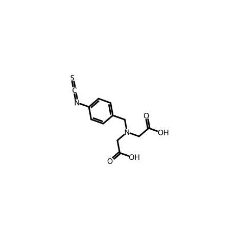 O=C(O)CN(CC(=O)O)Cc1ccc(N=C=S)cc1